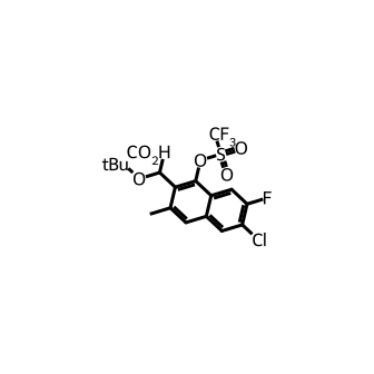 Cc1cc2cc(Cl)c(F)cc2c(OS(=O)(=O)C(F)(F)F)c1C(OC(C)(C)C)C(=O)O